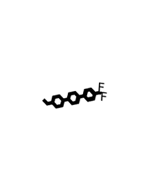 CCC1CCC(C2CC=C(c3ccc(C(F)F)cc3)CC2)CC1